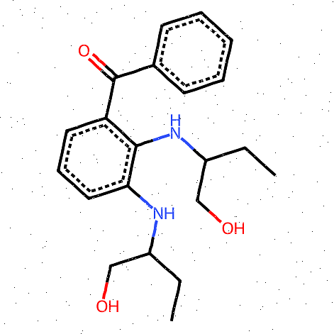 CCC(CO)Nc1cccc(C(=O)c2ccccc2)c1NC(CC)CO